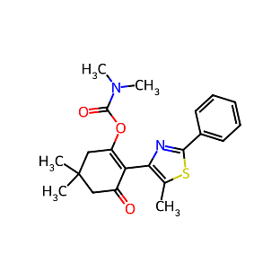 Cc1sc(-c2ccccc2)nc1C1=C(OC(=O)N(C)C)CC(C)(C)CC1=O